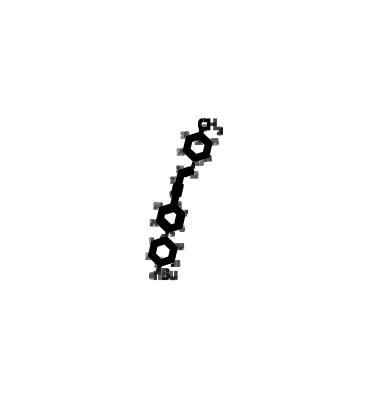 CCCC[C@H]1CC[C@H](c2ccc(C#C/C=C/[C@H]3CC[C@H](C)CC3)cc2)CC1